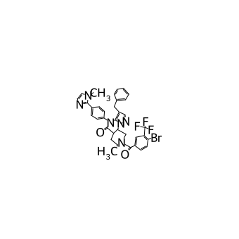 C[C@H]1CC2C(=O)N(c3ccc(-c4nccn4C)cc3)c3c(Cc4ccccc4)cnn3C2CN1C(=O)c1ccc(Br)c(C(F)(F)F)c1